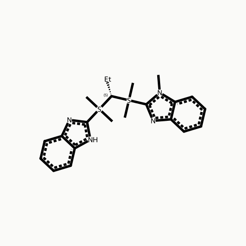 CC[C@@H](S(C)(C)c1nc2ccccc2[nH]1)S(C)(C)c1nc2ccccc2n1C